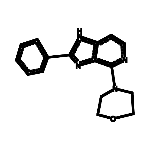 c1ccc(-c2nc3c(N4CCOCC4)nccc3[nH]2)cc1